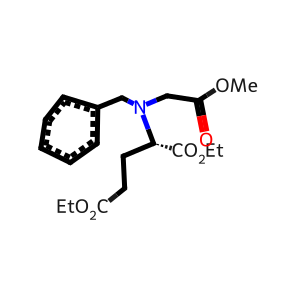 CCOC(=O)CC[C@@H](C(=O)OCC)N(CC(=O)OC)Cc1ccccc1